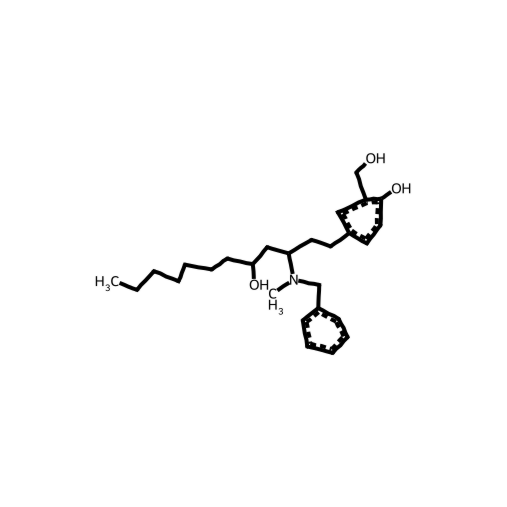 CCCCCCCC(O)CC(CCc1ccc(O)c(CO)c1)N(C)Cc1ccccc1